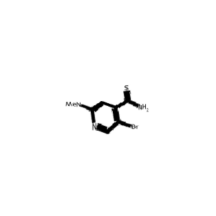 CNc1cc(C(N)=S)c(Br)cn1